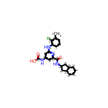 Cc1cccc(Nc2cc(NC(=O)O)cc(C(=O)NC3Cc4ccccc4C3)n2)c1F